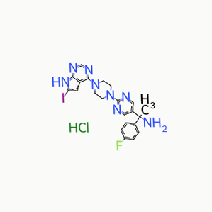 CC(N)(c1ccc(F)cc1)c1cnc(N2CCN(c3ncnc4[nH]c(I)cc34)CC2)nc1.Cl